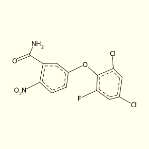 NC(=O)c1cc(Oc2c(F)cc(Cl)cc2Cl)ccc1[N+](=O)[O-]